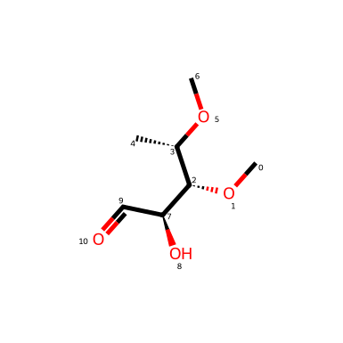 CO[C@@H]([C@H](C)OC)[C@@H](O)C=O